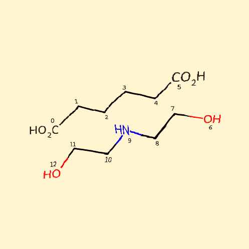 O=C(O)CCCCC(=O)O.OCCNCCO